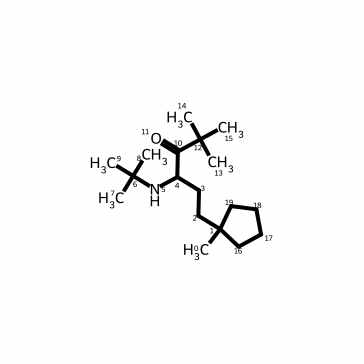 CC1(CCC(NC(C)(C)C)C(=O)C(C)(C)C)CCCC1